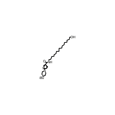 CCC(C)N1CCN(c2ccc(C(=O)NCCCCCCCCCCCCCCCCCO)cn2)CC1